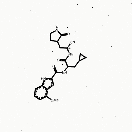 COc1cccc2[nH]c(C(=O)NC(CC3CC3)C(=O)N[C@H](C#N)CC3CCNC3=O)cc12